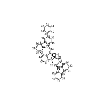 CC1c2c(cccc2C2C=Cc3c(n4c5ccccc5c5cccc3c54)C2)-c2cccc3c2CC1c1ccc(-c2ccccc2)cc1-3